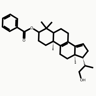 CC(CO)[C@H]1CC=C2C3=C(CC[C@@]21C)[C@@]1(C)CCC(OC(=O)c2ccccc2)C(C)(C)C1CC3